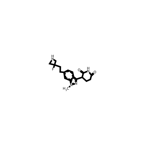 Cn1nc(C2CCC(=O)NC2=O)c2ccc(CCC3(F)CNC3)cc21